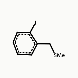 CSCc1ccccc1I